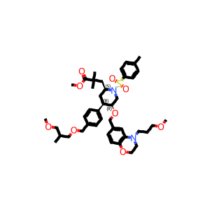 COCCCN1CCOc2ccc(CO[C@H]3CN(S(=O)(=O)c4ccc(C)cc4)[C@H](CC(C)(C)C(=O)OC)C[C@@H]3c3ccc(COCC(C)COC)cc3)cc21